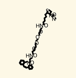 C=NC(=O)/N=C1\CCSC1CCCCCC(=O)NCCOCCOCCOCCOCCC(=O)NCCC(=O)N1Cc2ccccc2/C=C\c2ccccc21